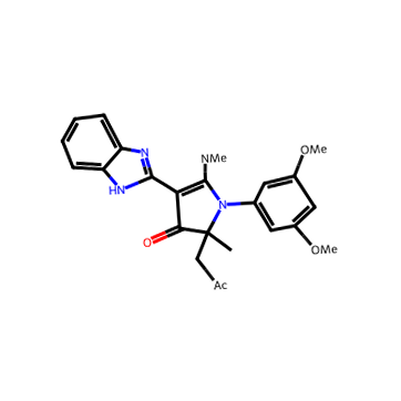 CNC1=C(c2nc3ccccc3[nH]2)C(=O)C(C)(CC(C)=O)N1c1cc(OC)cc(OC)c1